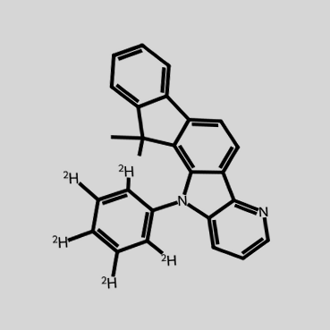 [2H]c1c([2H])c([2H])c(-n2c3cccnc3c3ccc4c(c32)C(C)(C)c2ccccc2-4)c([2H])c1[2H]